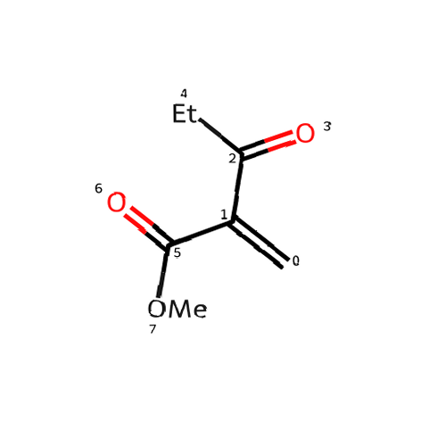 C=C(C(=O)CC)C(=O)OC